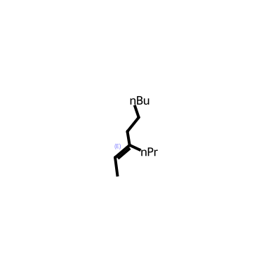 C/C=C(\CCC)CCCCCC